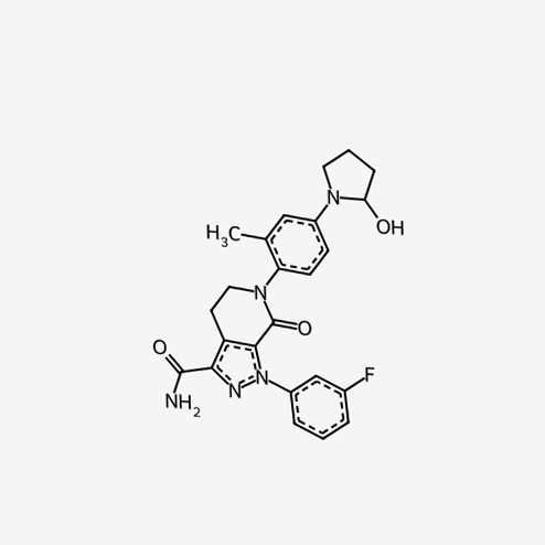 Cc1cc(N2CCCC2O)ccc1N1CCc2c(C(N)=O)nn(-c3cccc(F)c3)c2C1=O